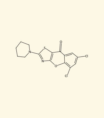 O=c1c2cc(Cl)cc(Cl)c2oc2nc(N3CCCCC3)sc12